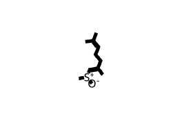 CC(C)=CCCC(C)=C[S+](C)[O-]